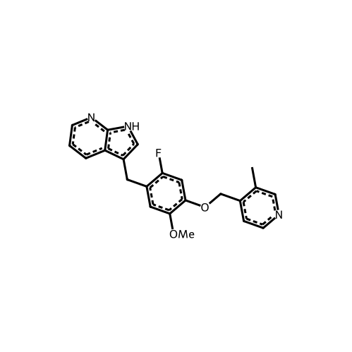 COc1cc(Cc2c[nH]c3ncccc23)c(F)cc1OCc1ccncc1C